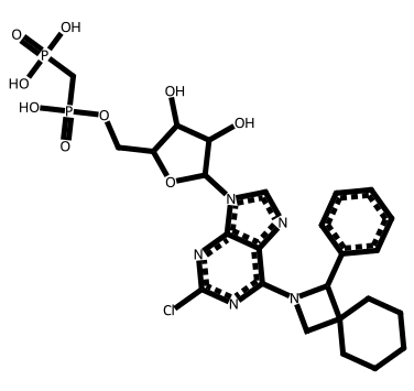 O=P(O)(O)CP(=O)(O)OCC1OC(n2cnc3c(N4CC5(CCCCC5)C4c4ccccc4)nc(Cl)nc32)C(O)C1O